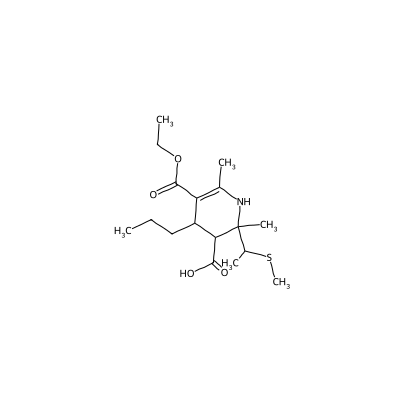 CCCC1C(C(=O)OCC)=C(C)NC(C)(C(C)SC)C1C(=O)O